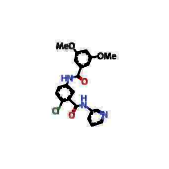 COc1cc(OC)cc(C(=O)Nc2ccc(Cl)c(C(=O)Nc3cccnc3)c2)c1